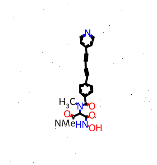 CNC(=O)C(C(=O)NO)N(C)C(=O)c1ccc(C#CC#Cc2ccncc2)cc1